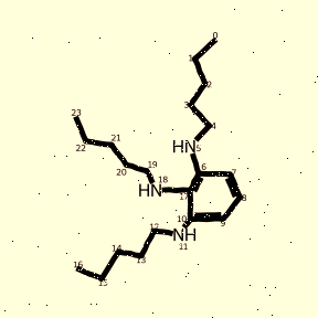 CCCCCNc1cccc(NCCCCC)c1NCCCCC